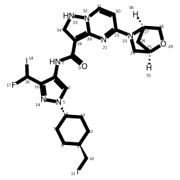 O=C(Nc1cn([C@H]2CC[C@H](CI)CC2)nc1C(F)I)C1=C2N=C(N3C[C@H]4C[C@@H]3CO4)C=CN2NC1